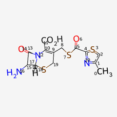 Cc1csc(C(=O)SCC2=C(C(=O)O)N3C(=O)C(N)[C@H]3SC2)n1